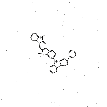 Cn1c2ccccc2c2cc3c(cc21)-c1ccc(-n2c4ccccc4c4ccc(-c5ccccc5)cc42)cc1C3(C)C